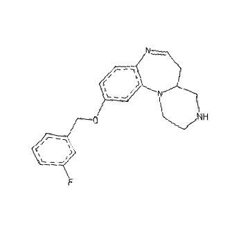 Fc1cccc(COc2ccc3c(c2)N2CCNCC2CC=N3)c1